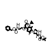 Cc1c(N2CC[C@@H]([C@H](C)NC(=O)OC(C)(C)C)C2)c(F)cc2c(OCCNC(=O)OCc3ccccc3)cc(=O)n(C3CC3)c12